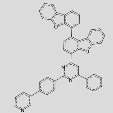 c1ccc(-c2cc(-c3ccc(-c4cccc5c4oc4ccccc45)c4c3oc3ccccc34)nc(-c3ccc(-c4cccnc4)cc3)n2)cc1